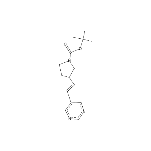 CC(C)(C)OC(=O)N1CCC(C=Cc2cncnc2)C1